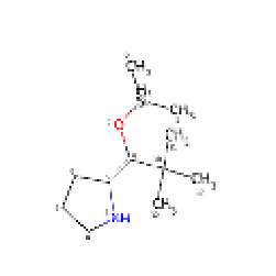 C[SiH](C)OC([C@H]1CCCN1)C(C)(C)C